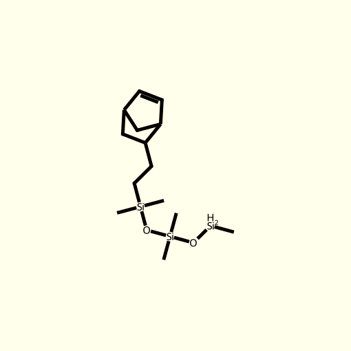 C[SiH2]O[Si](C)(C)O[Si](C)(C)CCC1CC2C=CC1C2